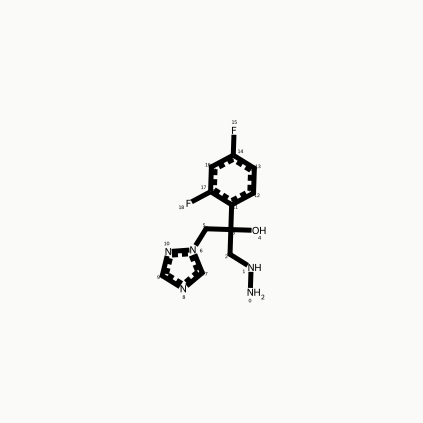 NNCC(O)(Cn1cncn1)c1ccc(F)cc1F